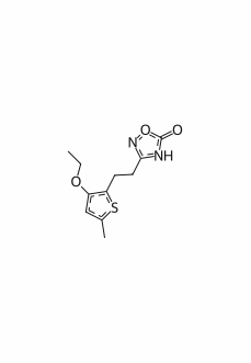 CCOc1cc(C)sc1CCc1noc(=O)[nH]1